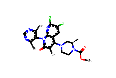 CC(C)c1ncnc(C(C)C)c1-n1c(=O)c(C#N)c(N2CCN(C(=O)OC(C)(C)C)[C@H](C)C2)c2cc(Cl)c(Cl)nc21